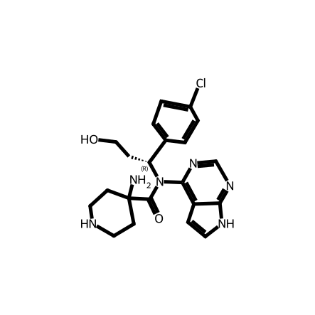 NC1(C(=O)N(c2ncnc3[nH]ccc23)[C@H](CCO)c2ccc(Cl)cc2)CCNCC1